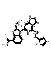 COc1nc2c(C(N)=O)cccc2n1-c1nc(NCc2cccs2)c2c(n1)OCC2